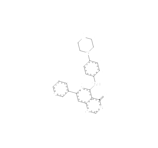 O=c1[nH]cnc2cc(-c3cccnc3)nc(Nc3ccc(N4CCOCC4)cc3)c12